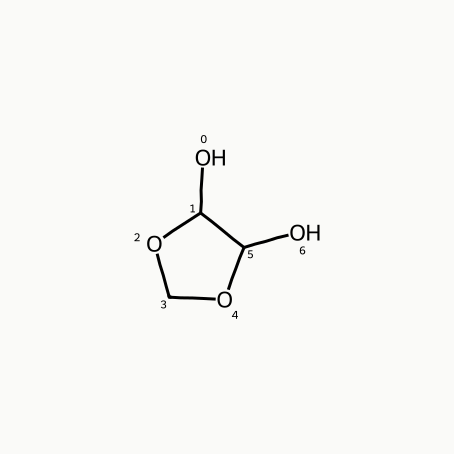 OC1OCOC1O